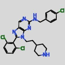 Clc1ccc(CNc2ncc3nc(-c4c(Cl)cccc4Cl)n(CCC4CCNCC4)c3n2)cc1